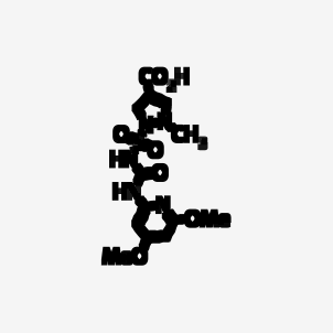 COc1cc(NC(=O)NS(=O)(=O)N2CC(C(=O)O)=CN2C)nc(OC)c1